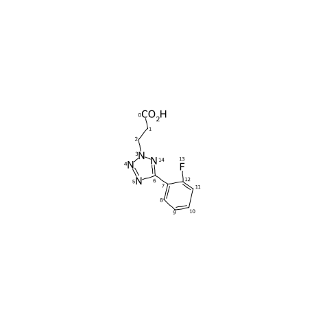 O=C(O)CCn1nnc(-c2ccccc2F)n1